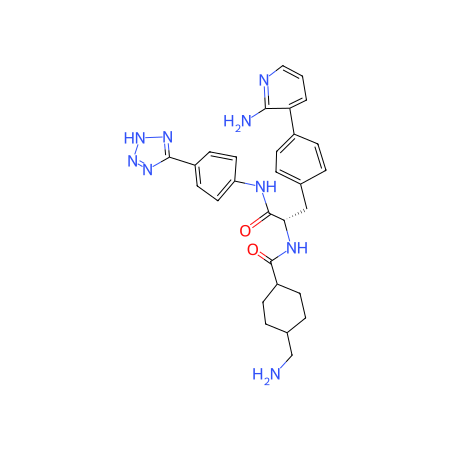 NCC1CCC(C(=O)N[C@@H](Cc2ccc(-c3cccnc3N)cc2)C(=O)Nc2ccc(-c3nn[nH]n3)cc2)CC1